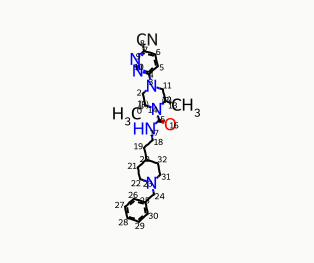 C[C@@H]1CN(c2ccc(C#N)nn2)C[C@@H](C)N1C(=O)NCCC1CCN(Cc2ccccc2)CC1